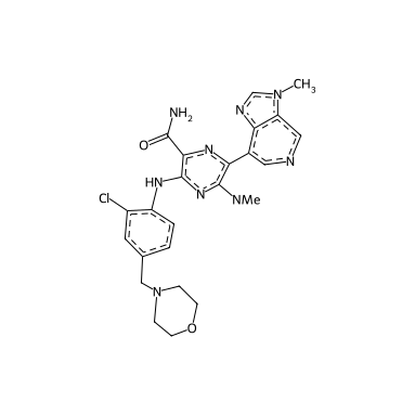 CNc1nc(Nc2ccc(CN3CCOCC3)cc2Cl)c(C(N)=O)nc1-c1cncc2c1ncn2C